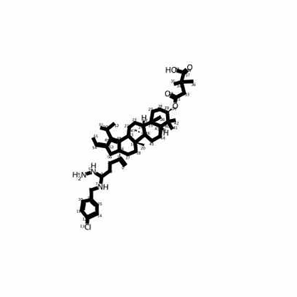 C=C(CCC(NN)NCc1ccc(Cl)cc1)[C@@]12CC[C@]3(C)C(CC[C@@H]4C5(C)CC[C@H](OC(=O)CC(C)(C)C(=O)O)C(C)(C)[C@@H]5CC[C@]43C)C1=C(C(C)C)C(=CC)C2